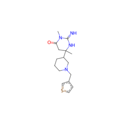 CN1C(=N)NC(C)(C2CCCN(Cc3ccsc3)C2)CC1=O